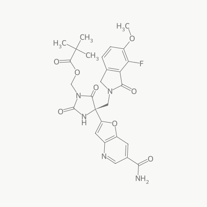 COc1ccc2c(c1F)C(=O)N(C[C@@]1(c3cc4ncc(C(N)=O)cc4o3)NC(=O)N(COC(=O)C(C)(C)C)C1=O)C2